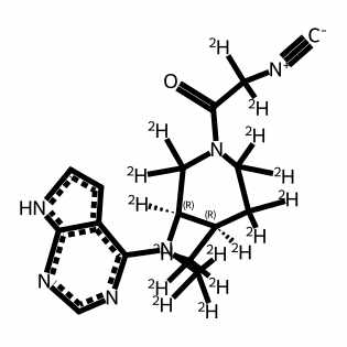 [2H]C([2H])([N+]#[C-])C(=O)N1C([2H])([2H])C([2H])([2H])[C@@]([2H])(C([2H])([2H])[2H])[C@@]([2H])(N(c2ncnc3[nH]ccc23)C([2H])([2H])[2H])C1([2H])[2H]